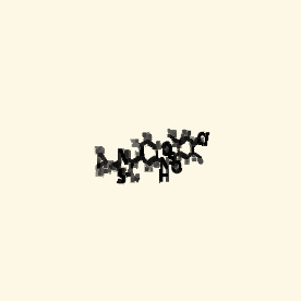 Cc1cc(S(=O)(=O)Nc2cccc(-c3csc(C4CC4)n3)c2)c(C)cc1Cl